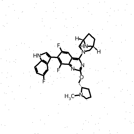 CN1CCC[C@H]1COc1nc(N2C[C@H]3CC[C@@H](C2)N3)c2cc(F)c(-c3c[nH]c4ccc(F)cc34)c(F)c2n1